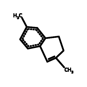 CC1=Cc2ccc(C)cc2CC1